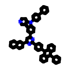 c1ccc(-c2ccc(-n3c4ccncc4c4cc(-c5cc(-c6ccc7ccccc7c6)nc(-c6ccc(-c7c8ccccc8c(-c8ccccc8)c8ccccc78)cc6)n5)ccc43)cc2)cc1